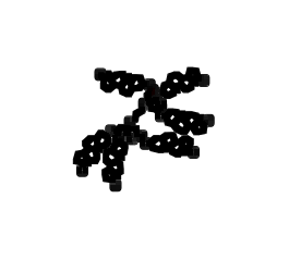 CC12CCC3C(CCC4CC(OOCCC(CC(=O)OC5CCC6(C)C(CCC7C8CCC(=O)C8(C)CCC76)C5)(OCCCOC(CC(=O)OC5CCC6(C)C(CCC7C8CCC(=O)C8(C)CCC76)C5)(CC(=O)OC5CCC6(C)C(CCC7C8CCC(=O)C8(C)CCC76)C5)C(=O)OC5CCC6(C)C(CCC7C8CCC(=O)C8(C)CCC76)C5)C(=O)OC5CCC6(C)C(CCC7C8CCC(=O)C8(C)CCC76)C5)CCC43C)C1CCC2=O